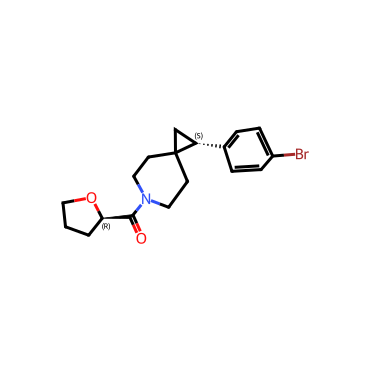 O=C([C@H]1CCCO1)N1CCC2(CC1)C[C@@H]2c1ccc(Br)cc1